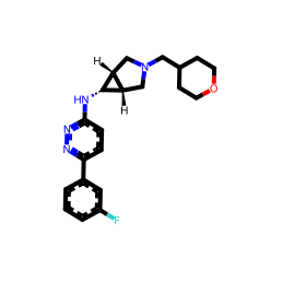 Fc1cccc(-c2ccc(N[C@@H]3[C@@H]4CN(CC5CCOCC5)C[C@@H]43)nn2)c1